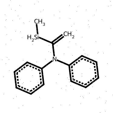 C=C([SiH2]C)N(c1ccccc1)c1ccccc1